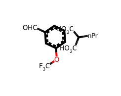 CCCC(C(=O)O)C(=O)O.O=Cc1cccc(OC(F)(F)F)c1